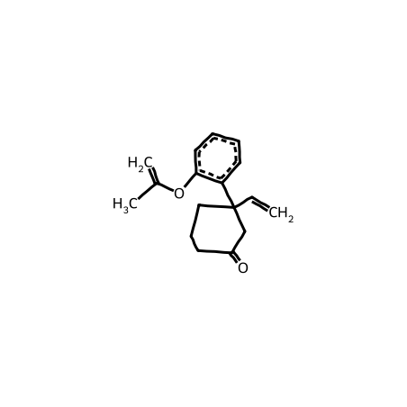 C=CC1(c2ccccc2OC(=C)C)CCCC(=O)C1